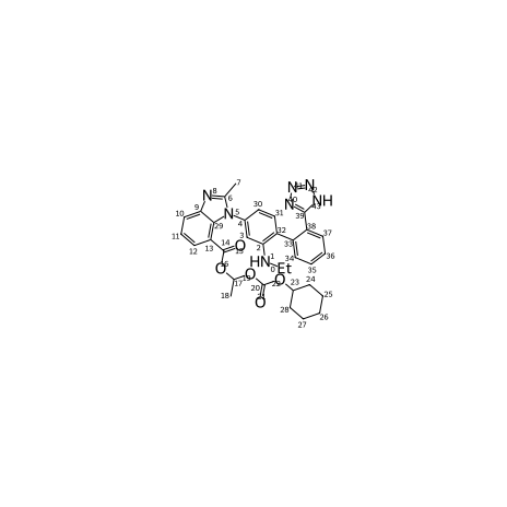 CCNc1cc(-n2c(C)nc3cccc(C(=O)OC(C)OC(=O)OC4CCCCC4)c32)ccc1-c1ccccc1-c1nnn[nH]1